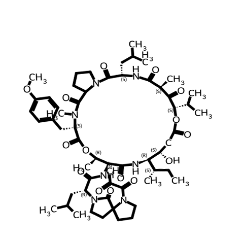 CC[C@H](C)[C@H]1NC(=O)[C@@H](NC(=O)[C@@H](CC(C)C)N2CCC3(CCCN3C(=O)C(C)=O)C2=O)[C@@H](C)OC(=O)[C@H](Cc2ccc(OC)cc2)N(C)C(=O)C2CCCN2C(=O)[C@H](CC(C)C)NC(=O)[C@@H](C)C(=O)[C@H](C(C)C)OC(=O)C[C@@H]1O